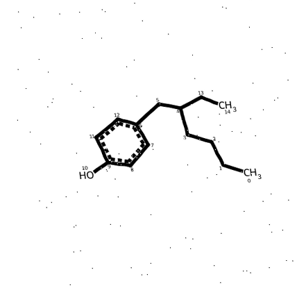 CCCCC([CH]c1ccc(O)cc1)CC